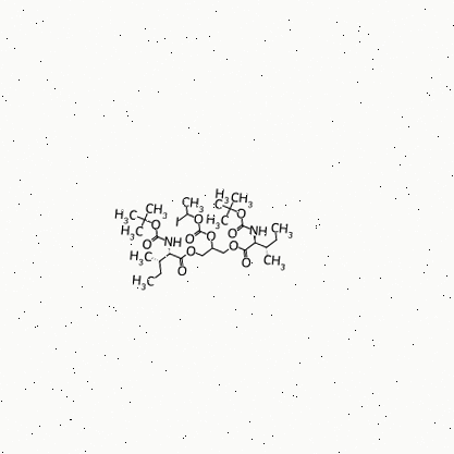 CC[C@H](C)[C@H](NC(=O)OC(C)(C)C)C(=O)OCC(COC(=O)[C@@H](NC(=O)OC(C)(C)C)[C@@H](C)CC)OC(=O)OC(C)I